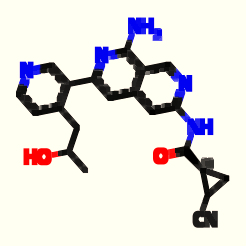 CC(O)Cc1ccncc1-c1cc2cc(NC(=O)[C@H]3CC3C#N)ncc2c(N)n1